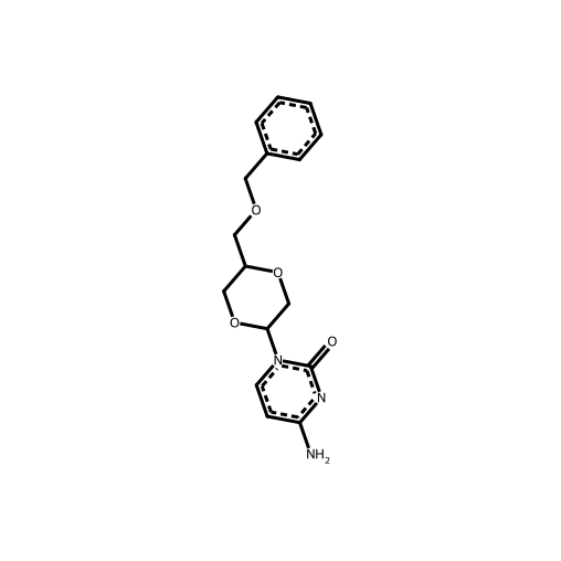 Nc1ccn(C2COC(COCc3ccccc3)CO2)c(=O)n1